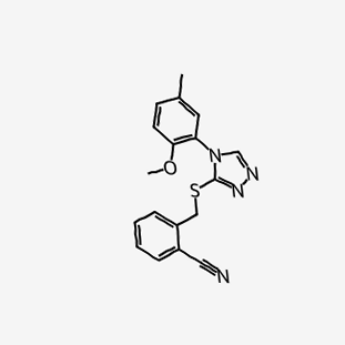 COc1ccc(C)cc1-n1cnnc1SCc1ccccc1C#N